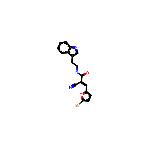 N#C/C(=C\c1ccc(Br)o1)C(=O)NCCc1c[nH]c2ccccc12